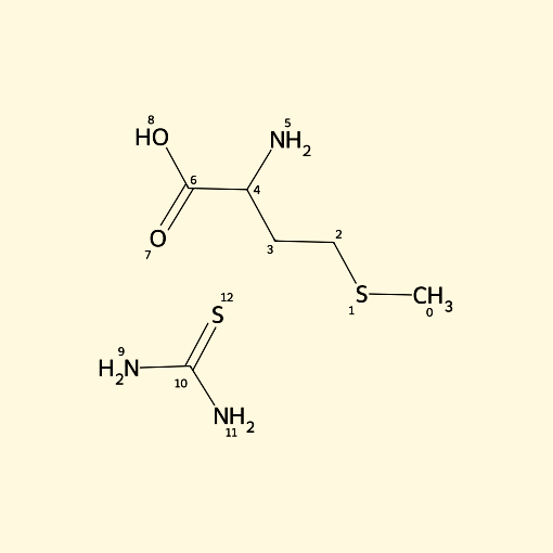 CSCCC(N)C(=O)O.NC(N)=S